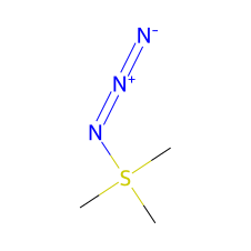 CS(C)(C)N=[N+]=[N-]